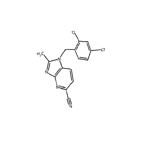 Cc1nc2nc(C#N)ccc2n1Cc1ccc(Cl)cc1Cl